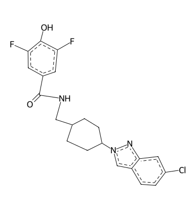 O=C(NCC1CCC(n2cc3ccc(Cl)cc3n2)CC1)c1cc(F)c(O)c(F)c1